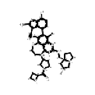 N#Cc1c(N)sc2c(F)ccc(-c3c(Cl)c4c5c(nc(OC[C@@]67CCCN6C[C@H](F)C7)nc5c3F)N(C3CCN(C(=O)C5CCO5)C3)CCO4)c12